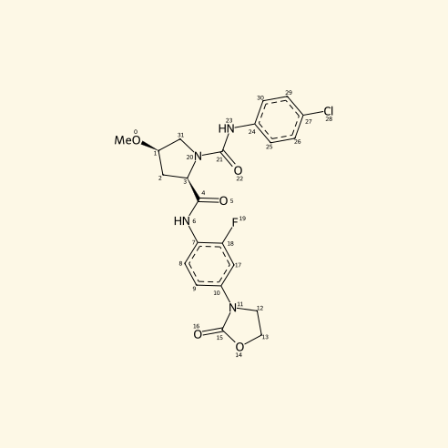 CO[C@@H]1C[C@H](C(=O)Nc2ccc(N3CCOC3=O)cc2F)N(C(=O)Nc2ccc(Cl)cc2)C1